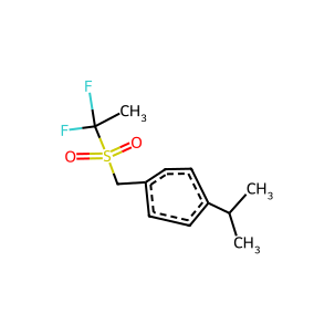 CC(C)c1ccc(CS(=O)(=O)C(C)(F)F)cc1